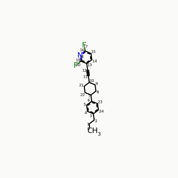 CCCc1ccc(C2CCC(C#Cc3ccc(F)nc3F)CC2)cc1